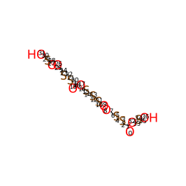 O=C(CSCSCCOOCSCSCSCOC(=O)CSCSCCOOCSCO)OCSCO